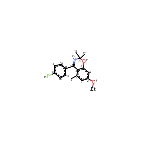 CCOc1cc(C)c2c(c1)OC(C)(C)N=C2c1ccc(F)cc1